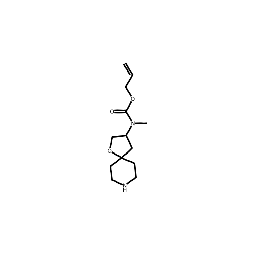 C=CCOC(=O)N(C)C1COC2(CCNCC2)C1